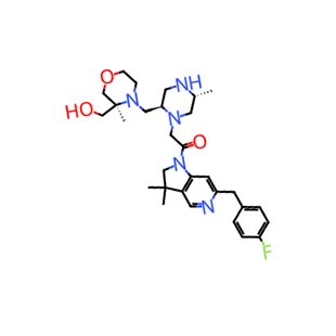 C[C@@H]1CN(CC(=O)N2CC(C)(C)c3cnc(Cc4ccc(F)cc4)cc32)[C@@H](CN2CCOC[C@]2(C)CO)CN1